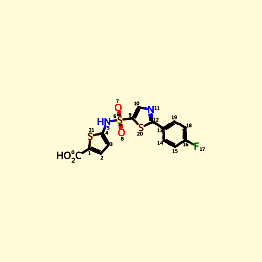 O=C(O)c1ccc(NS(=O)(=O)c2cnc(-c3ccc(F)cc3)s2)s1